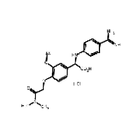 CCOc1cc(C(Nc2ccc(C(=N)N)cc2)C(=O)O)ccc1OCC(=O)N(C)C.Cl